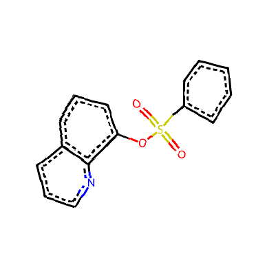 O=S(=O)(Oc1cccc2cccnc12)c1ccccc1